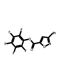 CC(C)c1cc(C(=O)Oc2c(F)c(F)c(F)c(F)c2F)on1